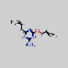 C=CCOc1nc(N)nc(CC=C)n1